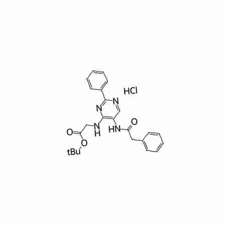 CC(C)(C)OC(=O)CNc1nc(-c2ccccc2)ncc1NC(=O)Cc1ccccc1.Cl